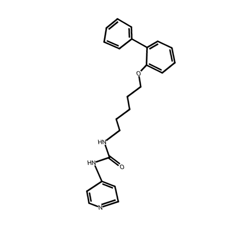 O=C(NCCCCCOc1ccccc1-c1ccccc1)Nc1ccncc1